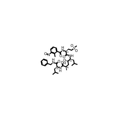 Cc1c(N=O)cccc1C(=O)N[C@@H](CCS(C)(=O)=O)C(=O)N[C@@H](CC(C)C)[C@@H](O)C[C@@H](C)C(=O)N[C@@H](CC(C)C)C(=O)NCc1ccccc1